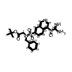 CC(C)(C)OC(=O)CN(Cc1ccccc1)S(=O)(=O)c1ccc2c(N(Cl)C(=N)N)cncc2c1